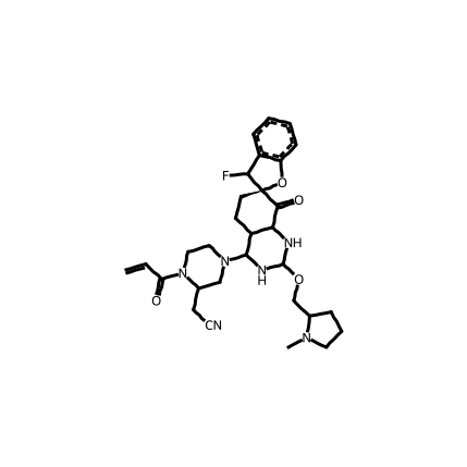 C=CC(=O)N1CCN(C2NC(OCC3CCCN3C)NC3C(=O)[C@@]4(CCC32)Oc2ccccc2C4F)CC1CC#N